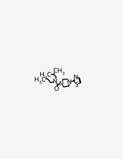 CCCN(CC(C)C)C(=O)N1CCN(c2nccs2)CC1